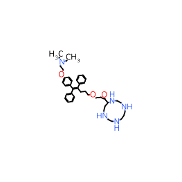 CCN(CC)CCOc1ccc(/C(=C(/CCCOCC2OC2C2CCNCCNCCCNCCN2)c2ccccc2)c2ccccc2)cc1